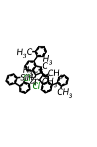 Cc1ccccc1-c1cccc2c1C=C(C(C)C)[CH]2[Zr]([Cl])([Cl])([c]1cccc2c1[SiH2]c1ccccc1-2)[CH]1C(C(C)C)=Cc2c(-c3ccccc3C)cccc21